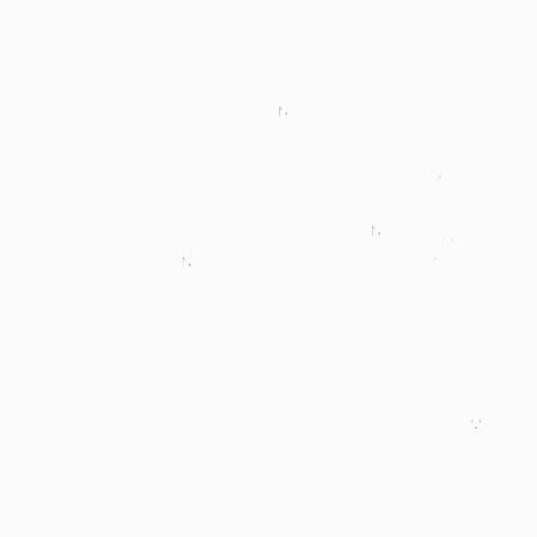 COc1ccc(S(=O)(=O)[N+]2(C(=O)C(C)(C)C)c3ccc(C(=O)NCc4ccccc4C)cc3C3(CCNCC3)C2C)cc1